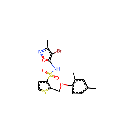 Cc1ccc(OCc2sccc2S(=O)(=O)Nc2onc(C)c2Br)c(C)c1